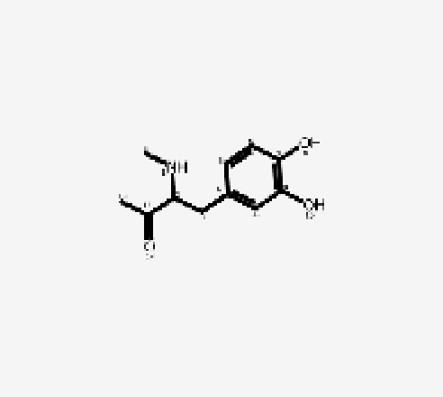 CNC(Cc1ccc(O)c(O)c1)C(C)=O